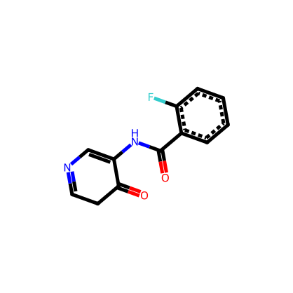 O=C1CC=NC=C1NC(=O)c1ccccc1F